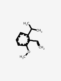 C=Cc1c(OC)cccc1[C](C)C